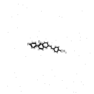 CC1CCC(CCC2CCc3c(ccc(-c4ccc(F)cc4)c3F)C2)CC1